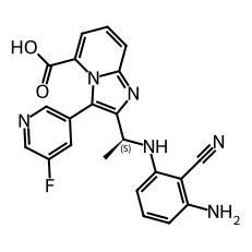 C[C@H](Nc1cccc(N)c1C#N)c1nc2cccc(C(=O)O)n2c1-c1cncc(F)c1